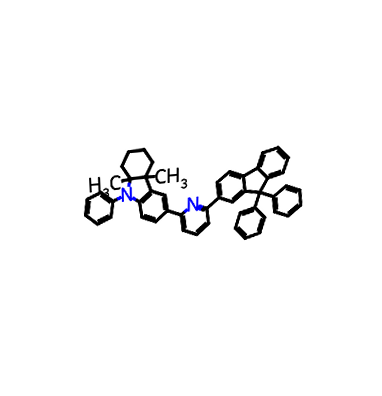 CC12CCCCC1(C)N(c1ccccc1)c1ccc(-c3cccc(-c4ccc5c(c4)C(c4ccccc4)(c4ccccc4)c4ccccc4-5)n3)cc12